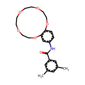 Cc1cc(C)cc(C(=O)Nc2ccc3c(c2)OCCOCCOCCOCCO3)c1